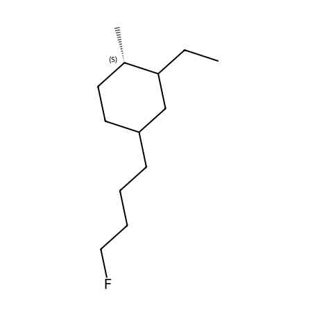 CCC1CC(CCCCF)CC[C@@H]1C